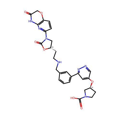 O=C1COc2ccc(N3C[C@H](CCNCc4cccc(-c5cc(O[C@H]6CCN(C(=O)O)C6)cnn5)c4)OC3=O)nc2N1